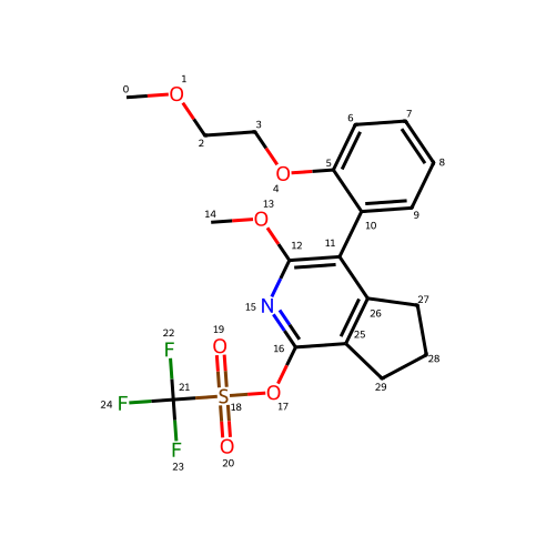 COCCOc1ccccc1-c1c(OC)nc(OS(=O)(=O)C(F)(F)F)c2c1CCC2